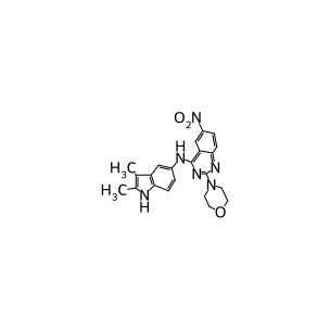 Cc1[nH]c2ccc(Nc3nc(N4CCOCC4)nc4ccc([N+](=O)[O-])cc34)cc2c1C